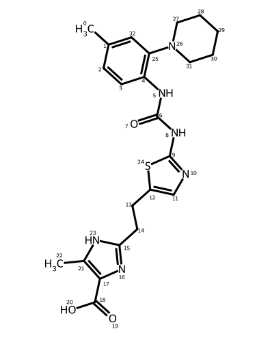 Cc1ccc(NC(=O)Nc2ncc(CCc3nc(C(=O)O)c(C)[nH]3)s2)c(N2CCCCC2)c1